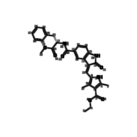 CCOC(=O)c1c(C)[nH]c(/C=C2\C(=O)Nc3ccc(C(=O)N[C@@H](Cc4ccccc4)C(=O)OC)cc32)c1C